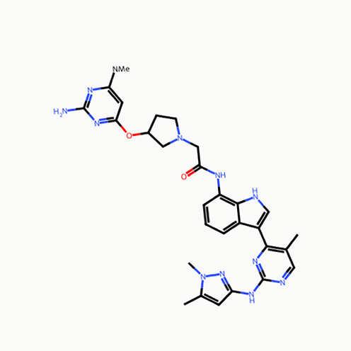 CNc1cc(OC2CCN(CC(=O)Nc3cccc4c(-c5nc(Nc6cc(C)n(C)n6)ncc5C)c[nH]c34)C2)nc(N)n1